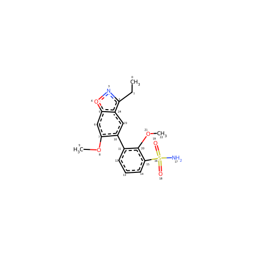 CCc1noc2cc(OC)c(-c3cccc(S(N)(=O)=O)c3OC)cc12